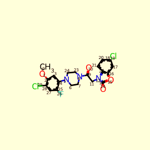 COc1cc(N2CCN(C(=O)Cn3c(=O)oc4cc(Cl)ccc43)CC2)c(F)cc1Cl